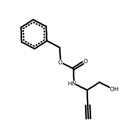 C#CC(CO)NC(=O)OCc1ccccc1